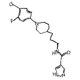 O=C(NCCCC1CCN(c2ccc(Cl)c(F)c2)CC1)c1cn[nH]c1